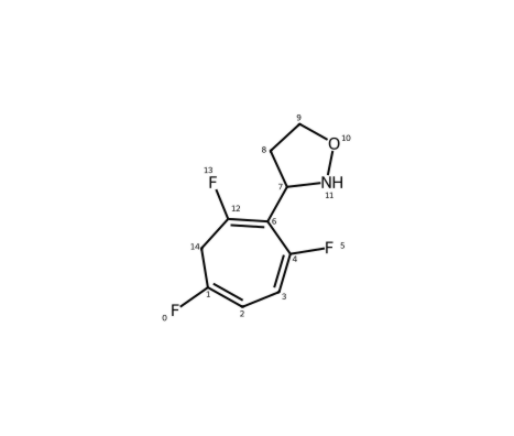 FC1=CC=C(F)C(C2CCON2)=C(F)C1